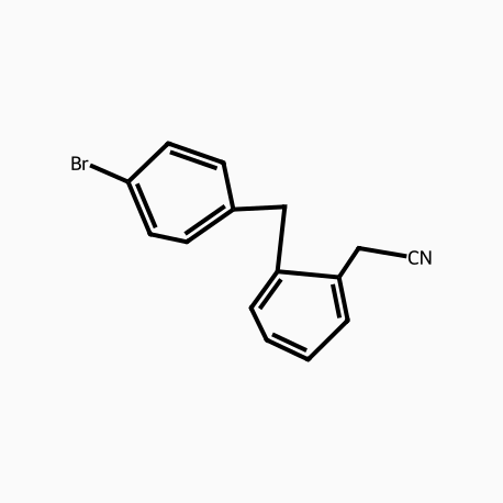 N#CCc1ccccc1Cc1ccc(Br)cc1